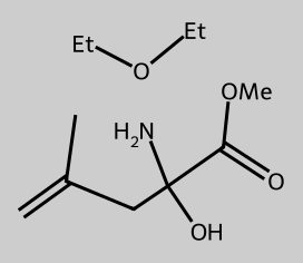 C=C(C)CC(N)(O)C(=O)OC.CCOCC